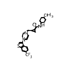 CC1CCC(NC(=O)C2CC2CN2CCN(c3csc4cc(C(F)(F)F)ccc34)CC2)CC1